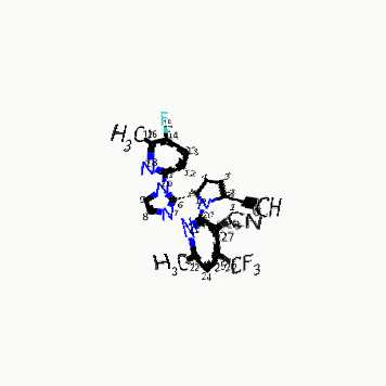 C#C[C@@H]1CC[C@@H](c2nccn2-c2ccc(F)c(C)n2)N1c1nc(C)cc(C(F)(F)F)c1C#N